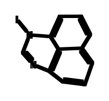 IN1C=Nc2cccc3cccc1c23